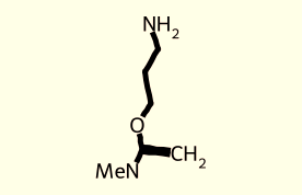 C=C(NC)OCCCN